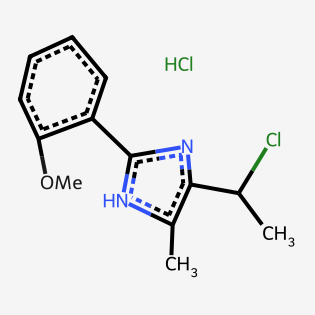 COc1ccccc1-c1nc(C(C)Cl)c(C)[nH]1.Cl